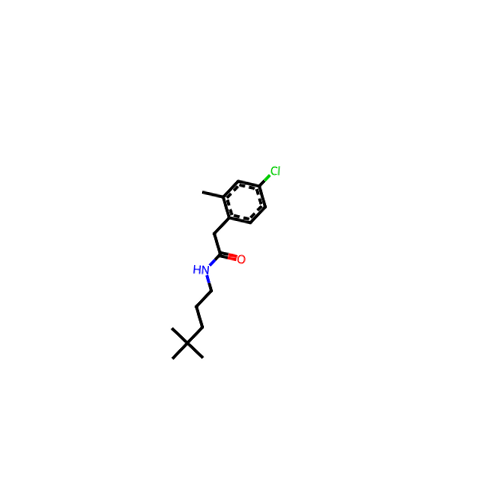 Cc1cc(Cl)ccc1CC(=O)NCCCC(C)(C)C